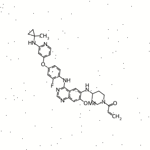 C=CC(=O)N1CCC(Nc2cc3c(Nc4ccc(Oc5ccnc(NC6(C)CC6)c5)cc4F)ncnc3cc2OC)CC1